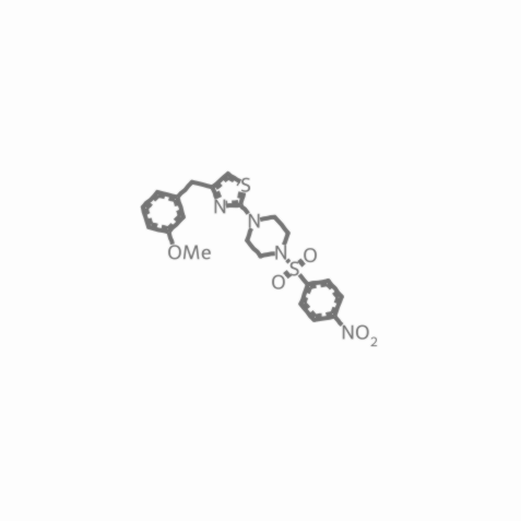 COc1cccc(Cc2csc(N3CCN(S(=O)(=O)c4ccc([N+](=O)[O-])cc4)CC3)n2)c1